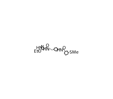 CCOc1cc(C(=O)NCCc2ccc(CNC(=O)c3cccc(SC)c3)cc2)n[nH]1